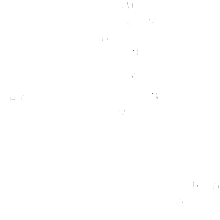 Cc1ccc(OCc2cc([N+](=O)[O-])ccc2N2CCN(S(C)(=O)=O)CC2)cc1